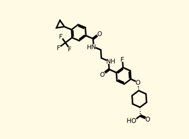 O=C(NCCNC(=O)c1ccc(O[C@H]2CC[C@@H](C(=O)O)CC2)cc1F)c1ccc(C2CC2)c(C(F)(F)F)c1